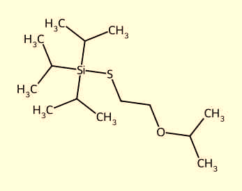 CC(C)OCCS[Si](C(C)C)(C(C)C)C(C)C